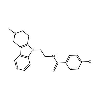 CN1CCc2c(c3cnccc3n2CCNC(=O)c2ccc(Cl)cc2)C1